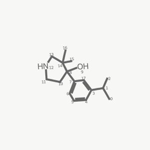 CC(C)c1cccc(C2(O)CCNCC2(C)C)c1